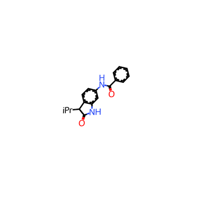 CC(C)C1C(=O)Nc2cc(NC(=O)c3ccccc3)ccc21